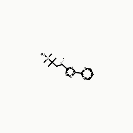 C[C@@H](CC(C)(C)[Si](C)(C)O)c1nnc(-c2ncccn2)s1